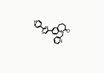 O=C1CCCc2cc(-c3csc(-c4ccncc4)n3)ccc2N1Cc1ccccn1